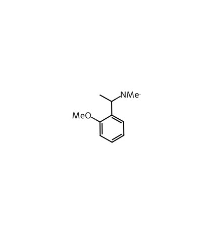 C[N]C(C)c1ccccc1OC